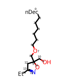 CCCCCCCCCCCCCCCCOCC1(CO)CC(CC)=NO1